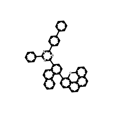 c1ccc(-c2ccc(-c3nc(-c4ccccc4)nc(-c4ccc(-c5ccc6ccc7ccc8cccc9c8c7c6c5O9)c5c4ccc4ccccc45)n3)cc2)cc1